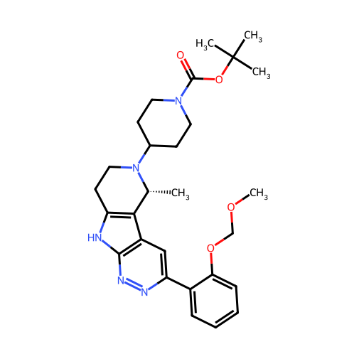 COCOc1ccccc1-c1cc2c3c([nH]c2nn1)CCN(C1CCN(C(=O)OC(C)(C)C)CC1)[C@@H]3C